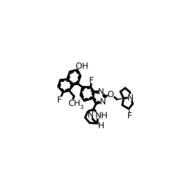 CCc1c(F)ccc2cc(O)cc(-c3ccc4c(N5C[C@@H]6CCC5CN6)nc(OC[C@@]56CCCN5C[C@H](F)C6)nc4c3F)c12